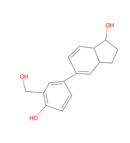 OCc1cc(C2=CC3CCC(O)C3C=C2)ccc1O